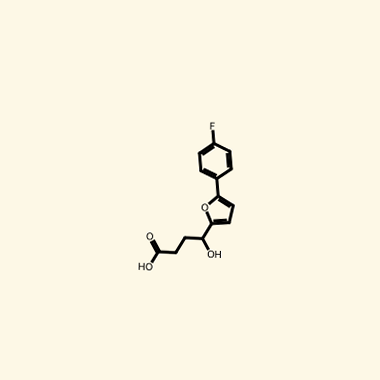 O=C(O)CCC(O)c1ccc(-c2ccc(F)cc2)o1